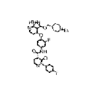 CCN1CCC(COc2n[nH]c3nccc(Oc4ccc(NC(=O)c5ccnn(-c6ccc(F)cc6)c5=O)cc4F)c23)CC1